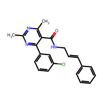 Cc1nc(C)c(C(=O)NCC=Cc2ccccc2)c(-c2cccc(Cl)c2)n1